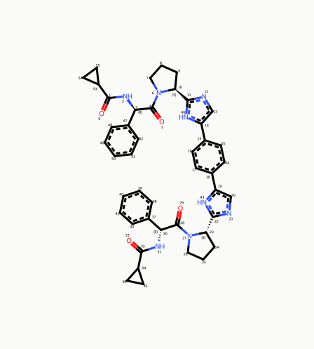 O=C(N[C@@H](C(=O)N1CCC[C@H]1c1ncc(-c2ccc(-c3cnc([C@@H]4CCCN4C(=O)[C@H](NC(=O)C4CC4)c4ccccc4)[nH]3)cc2)[nH]1)c1ccccc1)C1CC1